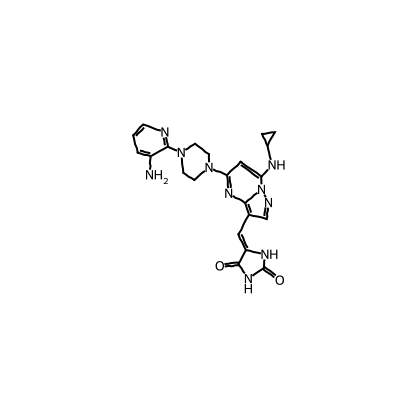 Nc1cccnc1N1CCN(c2cc(NC3CC3)n3ncc(/C=C4\NC(=O)NC4=O)c3n2)CC1